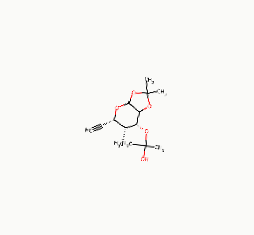 C#C[C@@H]1OC2OC(C)(C)OC2[C@H](OC(C)(C)O)[C@@H]1C